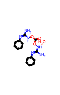 NC(=Nc1ccccc1)NOC(=O)ONC(N)=Nc1ccccc1.O